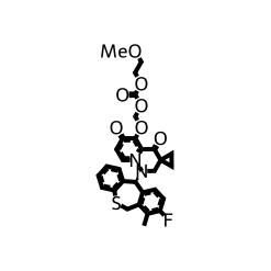 COCCOC(=O)OCOc1c2n(ccc1=O)N([C@@H]1c3ccccc3SCc3c1ccc(F)c3C)CC1(CC1)C2=O